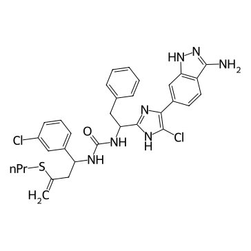 C=C(CC(NC(=O)NC(Cc1ccccc1)c1nc(-c2ccc3c(N)n[nH]c3c2)c(Cl)[nH]1)c1cccc(Cl)c1)SCCC